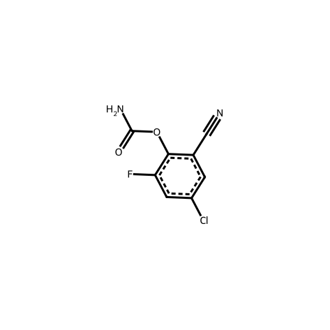 N#Cc1cc(Cl)cc(F)c1OC(N)=O